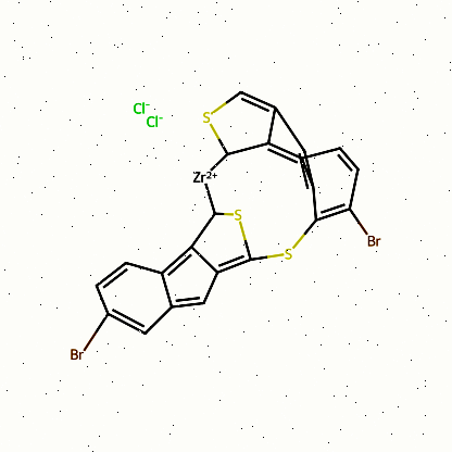 Brc1ccc2c(c1)=CC1=C3Sc4c(Br)ccc5c4=CC4=CS[CH]([Zr+2][CH](S3)C=21)C=54.[Cl-].[Cl-]